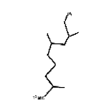 CCCCCC(C)CCCC(C)CC(C)CC(C)C